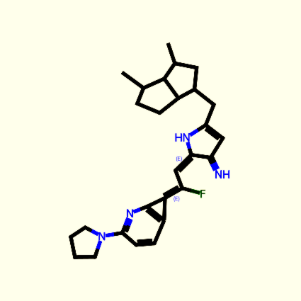 CC1CCC2C(CC3=CC(=N)/C(=C\C(F)=C4\c5ccc(N6CCCC6)nc54)N3)CC(C)C12